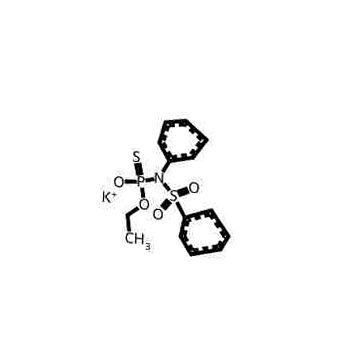 CCOP([O-])(=S)N(c1ccccc1)S(=O)(=O)c1ccccc1.[K+]